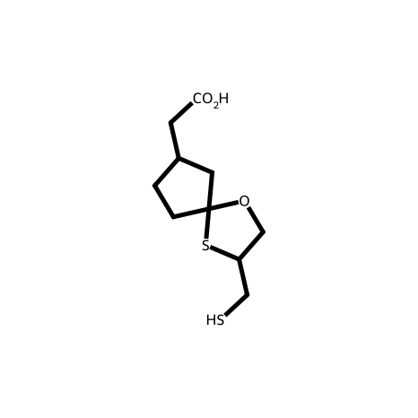 O=C(O)CC1CCC2(C1)OCC(CS)S2